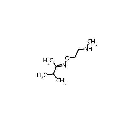 CNCCO/N=C(\C)C(C)C